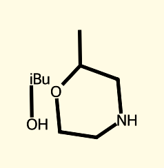 CC1CNCCO1.CCC(C)O